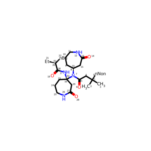 CCCCCCCCCC(C)(C)CC(=O)N([C@H]1CCCNC(=O)C1)[C@@]1(NC(=O)[C@@H](CC)CCCC)CCCNC(=O)C1